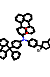 CCC1(c2ccc(N(c3ccc(-c4cccc5cccc(-c6ccccc6)c45)cc3)c3ccc(C4(c5ccccc5)c5ccccc5-c5ccccc54)cc3)cc2)CCC(C)C1